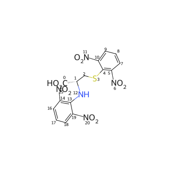 O=C(O)[C@H](CSc1c([N+](=O)[O-])cccc1[N+](=O)[O-])Nc1c([N+](=O)[O-])cccc1[N+](=O)[O-]